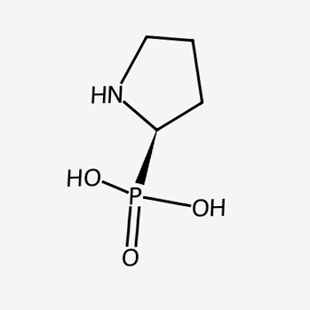 O=P(O)(O)[C@@H]1CCCN1